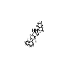 C[C@@H]1CN(CC(=O)Nc2cccc3ncccc23)C[C@H](C)N1c1ncnc2sccc12